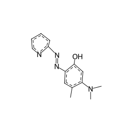 Cc1cc(/N=N/c2ccccn2)c(O)cc1N(C)C